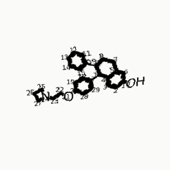 Oc1ccc2c(c1)CC[C@H](c1ccccc1)[C@@H]2c1ccc(OCCN2CCC2)cc1